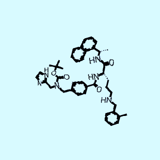 Cc1ccccc1CNCCC[C@H](NC(=O)c1ccc(CN(Cc2ncc[nH]2)C(=O)OC(C)(C)C)cc1)C(=O)N[C@@H](C)c1cccc2ccccc12